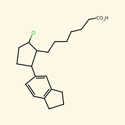 O=C(O)CCCCCCC1C(Cl)CCC1c1ccc2c(c1)CCC2